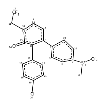 C[S+]([O-])c1ccc(-c2cnn(CC(F)(F)F)c(=O)c2-c2ccc(Cl)cc2)cc1